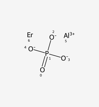 O=P([O-])([O-])[O-].[Al+3].[Er]